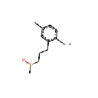 Cc1ccc(S(=O)(=O)O)c(CCC[S+](C)[O-])c1